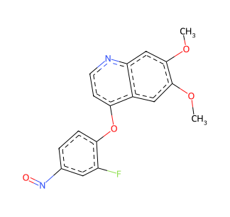 COc1cc2nccc(Oc3ccc(N=O)cc3F)c2cc1OC